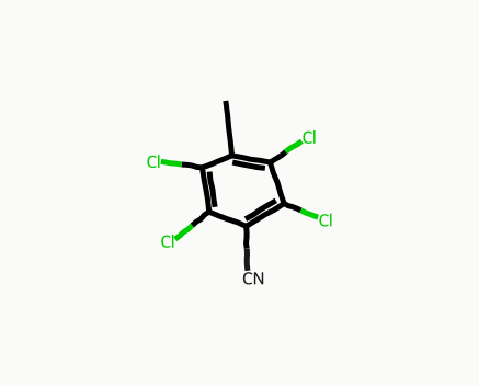 Cc1c(Cl)c(Cl)c(C#N)c(Cl)c1Cl